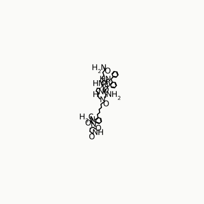 Cn1c(=O)n(C2CCC(=O)NC2=O)c2cccc(CCCCCC(=O)N3CC[C@H]4CC[C@@H](C(=O)NC(CCCC(N)=O)C(=O)NC(c5ccccc5)c5ccccc5)N4C(=O)[C@@H](N)C3)c21